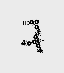 COC(OC1=CC=C(c2cc(-c3ccc(OC(OC)C(C)(C)C)cc3)c(S(=O)(=O)O)c(-c3ccc(OC(OC)C(C)(C)Cc4ccc(S(C)(c5ccccc5)c5cccc(O)c5)cc4)cc3)c2)CC1)C(C)(C)C